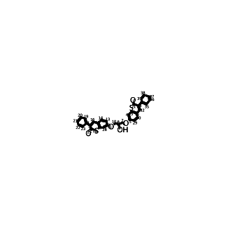 O=c1sc2cc(OCC(O)COc3ccc4cc(-c5ccccc5)c(=O)sc4c3)ccc2cc1-c1ccccc1